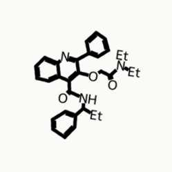 CCC(NC(=O)c1c(OCC(=O)N(CC)CC)c(-c2ccccc2)nc2ccccc12)c1ccccc1